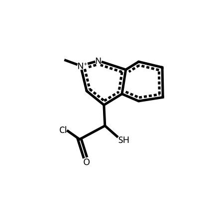 C[n+]1cc(C(S)C(=O)Cl)c2ccccc2n1